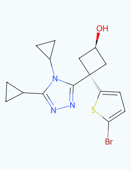 O[C@H]1C[C@@](c2ccc(Br)s2)(c2nnc(C3CC3)n2C2CC2)C1